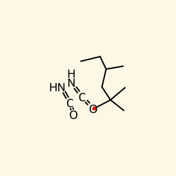 CCC(C)CC(C)(C)C.N=C=O.N=C=O